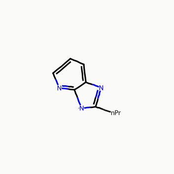 CCCC1=Nc2cccnc2[N]1